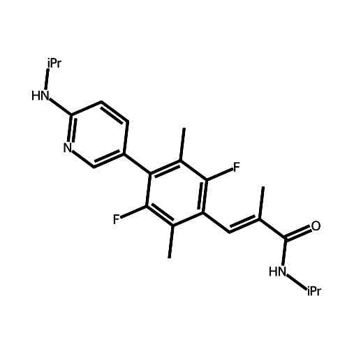 C/C(=C\c1c(C)c(F)c(-c2ccc(NC(C)C)nc2)c(C)c1F)C(=O)NC(C)C